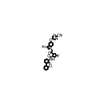 CC(=O)c1cn(CC(=O)C2C[C@H](F)C[C@H]2C(=O)Nc2cccc(-c3ccccc3Cl)c2F)c2ccc(Oc3cnc(C#N)nc3)cc12